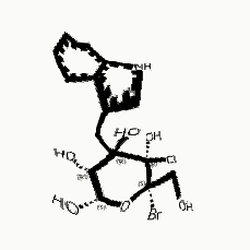 OC[C@@]1(Br)O[C@H](O)[C@H](O)[C@](O)(Cc2c[nH]c3ccccc23)[C@@]1(O)Cl